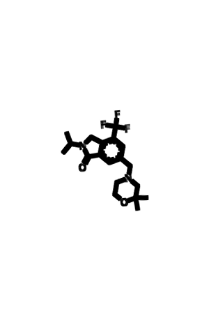 CC(C)N1Cc2c(cc(CN3CCOC(C)(C)C3)cc2C(F)(F)F)C1=O